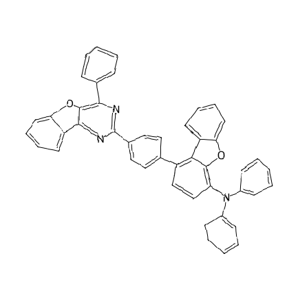 C1=CCCC(N(c2ccccc2)c2ccc(-c3ccc(-c4nc(-c5ccccc5)c5oc6ccccc6c5n4)cc3)c3c2oc2ccccc23)=C1